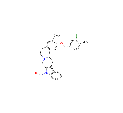 COc1cc2c(cc1OCc1ccc(C(F)(F)F)c(F)c1)C1Cc3c(n(CO)c4ccccc34)CN1CC2